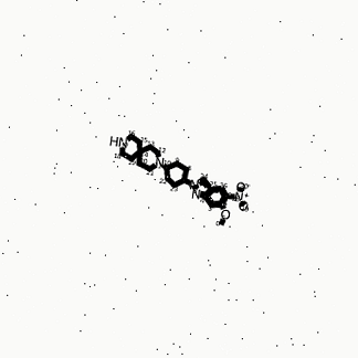 COc1cc2nn(C3CCC(N4CCC5(CCNCC5)CC4)CC3)cc2cc1[N+](=O)[O-]